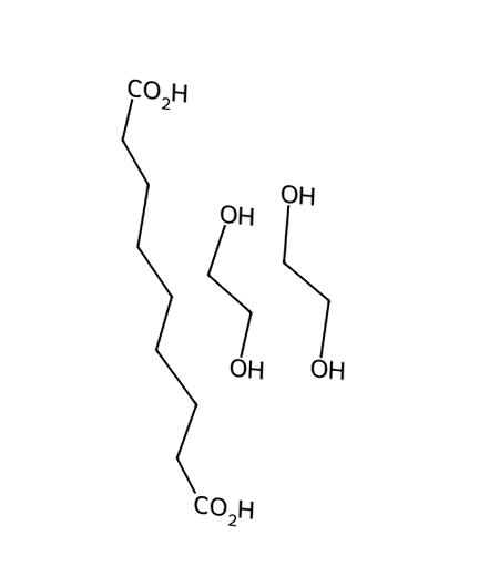 O=C(O)CCCCCCCC(=O)O.OCCO.OCCO